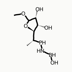 COC1O[C@H]([C@@H](C)PNBO)[C@@H](O)[C@H]1O